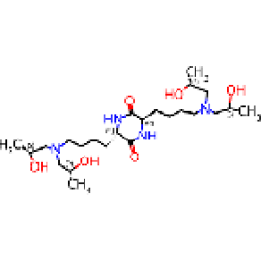 C[C@H](O)CN(CCCC[C@H]1NC(=O)[C@H](CCCCN(C[C@H](C)O)C[C@@H](C)O)NC1=O)C[C@H](C)O